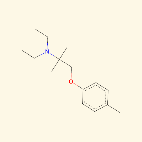 CCN(CC)C(C)(C)COc1ccc(C)cc1